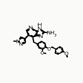 COc1ccc(COc2ccc(Cc3c(-c4cnn(C)c4)cnc4[nH]c(N)nc34)cc2OC)cc1